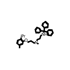 Cc1ccc(C(C)C)c(OCCCN(C)CCCNC(c2ccccc2)(c2ccccc2)c2ccccc2)c1